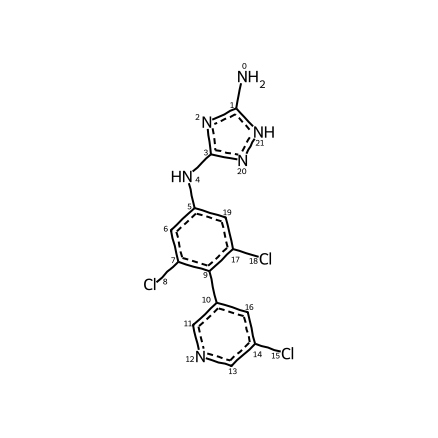 Nc1nc(Nc2cc(Cl)c(-c3cncc(Cl)c3)c(Cl)c2)n[nH]1